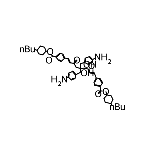 CCCCC1CCC(OC(=O)c2ccc(/C=C/C(=O)CC(Cc3ccc(N)cc3)(Cc3ccc(N)cc3)C(O)(O)C(=O)/C=C/c3ccc(C(=O)OC4CCC(CCCC)CC4)cc3)cc2)CC1